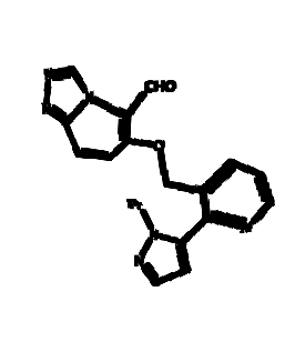 CC(C)n1nccc1-c1ncccc1COc1ccc2nncn2c1C=O